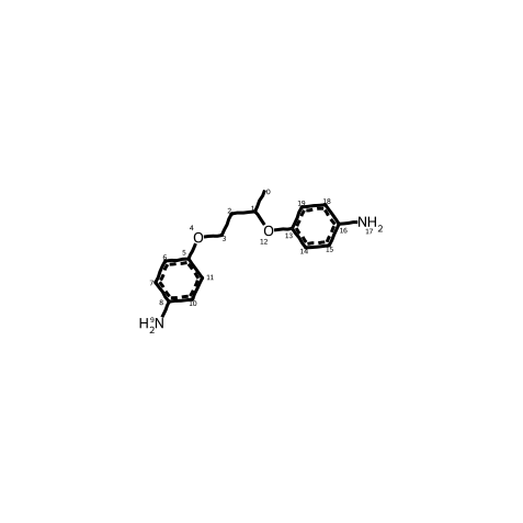 CC(CCOc1ccc(N)cc1)Oc1ccc(N)cc1